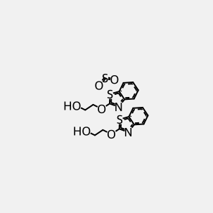 O=S=O.OCCOc1nc2ccccc2s1.OCCOc1nc2ccccc2s1